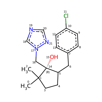 CC1(C)CCC(Cc2ccc(Cl)cc2)[C@]1(O)Cn1cncn1